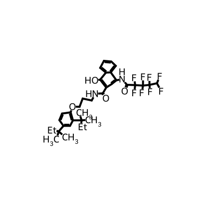 CCC(C)(C)c1ccc(OCCCNC(=O)c2cc(NC(=O)C(F)(F)C(F)(F)C(F)(F)C(F)F)c3ccccc3c2O)c(C(C)(C)CC)c1